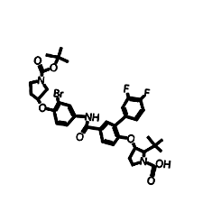 CC(C)(C)OC(=O)N1CCC(Oc2ccc(NC(=O)c3ccc(OC4CCN(C(=O)O)C4C(C)(C)C)c(-c4ccc(F)c(F)c4)c3)cc2Br)C1